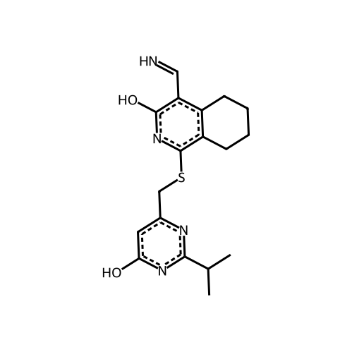 CC(C)c1nc(O)cc(CSc2nc(O)c(C=N)c3c2CCCC3)n1